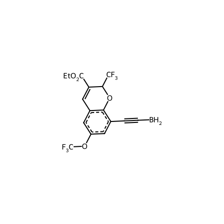 BC#Cc1cc(OC(F)(F)F)cc2c1OC(C(F)(F)F)C(C(=O)OCC)=C2